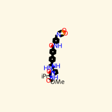 COC(=O)N[C@H](C(=O)N1CCC[C@H]1C1NC=C(c2ccc(-c3ccc(C(=O)Nc4ccc(CN5CCS(=O)(=O)CC5)cc4)cc3)cc2)N1)C(C)C